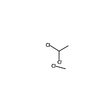 CC(Cl)Cl.CCl